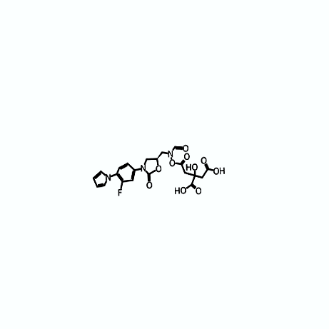 O=CN(C[C@@H]1CN(c2ccc(-n3cccc3)c(F)c2)C(=O)O1)OC(=O)CC(O)(CC(=O)O)C(=O)O